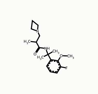 COc1c(F)cccc1C(C)(C)NC(=O)C(C)CN1CCC1